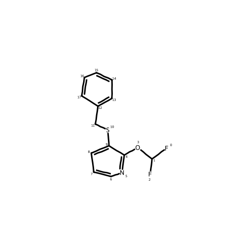 FC(F)Oc1ncccc1SCc1ccccc1